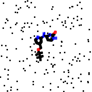 CC(C)(C)[Si](C)(C)OCc1ccnc(Nc2cc[nH]c(=O)n2)c1